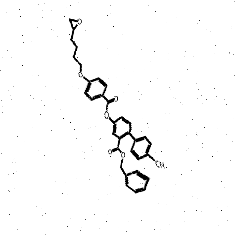 N#Cc1ccc(-c2ccc(OC(=O)c3ccc(OCCCCC4CO4)cc3)cc2C(=O)OCc2ccccc2)cc1